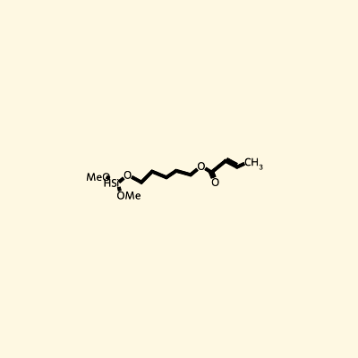 CC=CC(=O)OCCCCCO[SiH](OC)OC